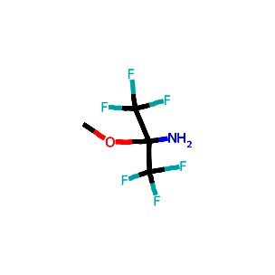 COC(N)(C(F)(F)F)C(F)(F)F